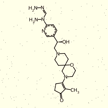 CC1=C(N2CCOC3(CCN(C[C@H](O)c4ccc(N(N)/C=N\N)nc4)CC3)C2)CCC1=O